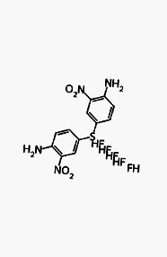 F.F.F.F.F.Nc1ccc(Sc2ccc(N)c([N+](=O)[O-])c2)cc1[N+](=O)[O-]